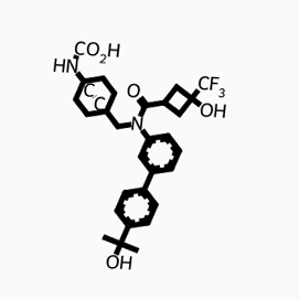 CC(C)(O)c1ccc(-c2cccc(N(CC34CCC(NC(=O)O)(CC3)CC4)C(=O)C3CC(O)(C(F)(F)F)C3)c2)cc1